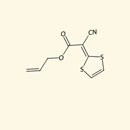 C=CCOC(=O)C(C#N)=C1SC=CS1